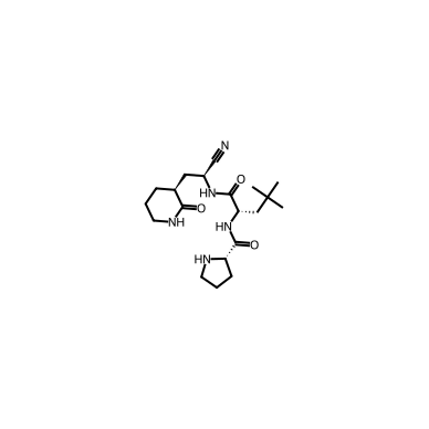 CC(C)(C)C[C@H](NC(=O)[C@@H]1CCCN1)C(=O)N[C@H](C#N)C[C@@H]1CCCNC1=O